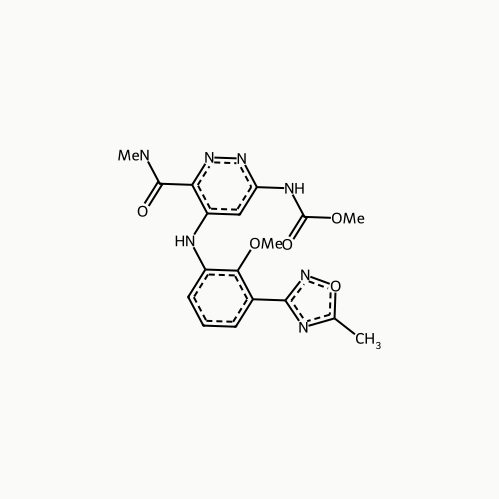 CNC(=O)c1nnc(NC(=O)OC)cc1Nc1cccc(-c2noc(C)n2)c1OC